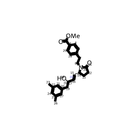 COC(=O)c1ccc(CCN2C(=O)CC[C@@H]2/C=C/[C@@H](O)Cc2cc(C)cc(C)c2)cc1